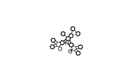 O=C1c2cc3c(cc2C2c4ccccc4C24c2ccccc2C14)c1c(-c2ccccc2)c2cc(-c4ccccc4-c4ccccc4)ccc2c2c4cc5c(cc4n3c12)C(=O)C1c2ccccc2C12c1ccccc1C52